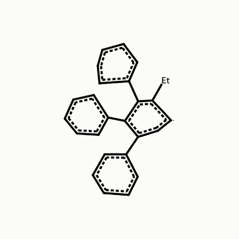 CCc1[c]cc(-c2ccccc2)c(-c2ccccc2)c1-c1ccccc1